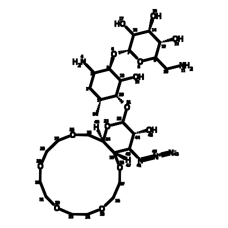 C[C@@H]1CC(N)[C@@H](O[C@H]2OC(CN)[C@@H](O)[C@H](O)C2O)C(O)[C@@H]1OC1O[C@@H]2COCCOCCOCCOCCO[C@H]2C(N=[N+]=[N-])[C@H]1O